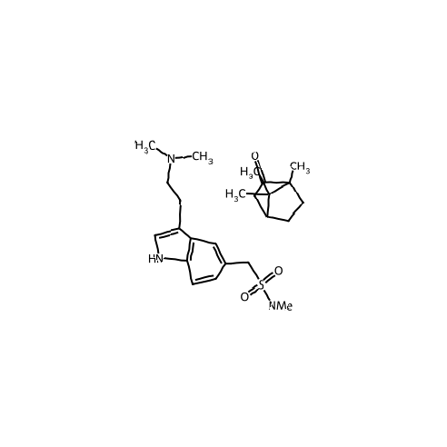 CC12CCC(CC1=O)C2(C)C.CNS(=O)(=O)Cc1ccc2[nH]cc(CCN(C)C)c2c1